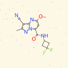 COc1cc(C(=O)NC2CC(F)(F)C2)n2nc(C)c(C#N)c2n1